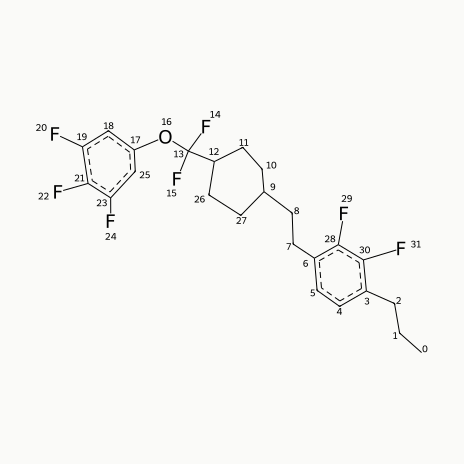 CCCc1ccc(CCC2CCC(C(F)(F)Oc3cc(F)c(F)c(F)c3)CC2)c(F)c1F